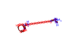 CO[C@H]1C[C@@H]2CC[C@@H](C)[C@@](O)(O2)C(=O)C(=O)N2CCCC[C@H]2CO[C@H]([C@H](N)CC2CC[C@@H](OC(=O)NCCOCCOCCOCCOCCOCCOCCOCCOCCOCCOCCOCCOCCC(=O)N3CCc4cc(Cn5nc(-c6cnc7[nH]ccc7c6)c6c(N)ncnc65)ccc4C3)[C@H](OC)C2)CC(=O)C(C)/C=C(\C)[C@@H](O)[C@@H](O)C(=O)[C@H](C)C[C@H](C)/C=C/C=C/C=C/1C